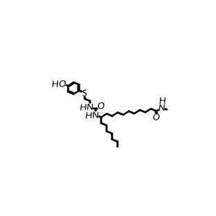 CCCCCCCC(CCCCCCCCCC(=O)NC)NC(=O)NCCSc1ccc(O)cc1